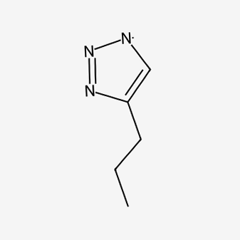 CCCC1=C[N]N=N1